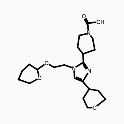 O=C(O)N1CCC(c2nc(C3CCOCC3)cn2CCOC2CCCCO2)CC1